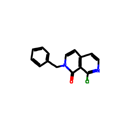 O=c1c2c(Cl)nccc2ccn1Cc1ccccc1